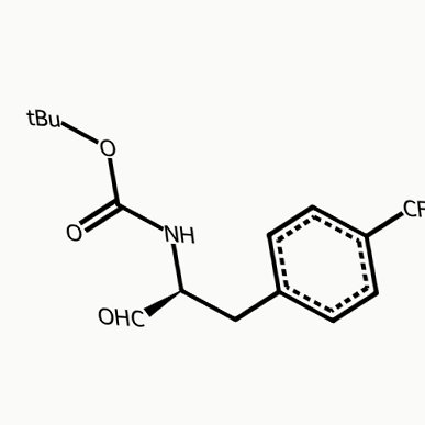 CC(C)(C)OC(=O)N[C@H](C=O)Cc1ccc(C(F)(F)F)cc1